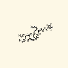 COc1cc2c(Oc3cc(C)c(C)cc3C(C)=O)ccnc2cc1OCCCn1ccnc1